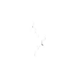 CCCOC(=O)C(SCCCC(C)(F)F)C(C)C